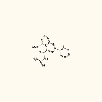 COc1cccc2nc(-c3ccccc3C)cc(C(=O)NC(=N)N)c12